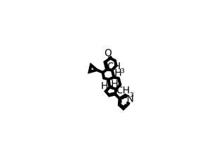 C[C@]12CCC(=O)C=C1C(C1CC1)C[C@@H]1[C@@H]2CC[C@]2(C)C(c3cccnc3)=CC[C@@H]12